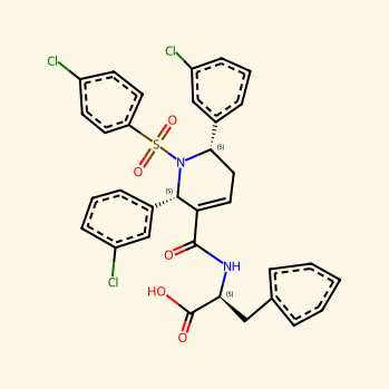 O=C(N[C@@H](Cc1ccccc1)C(=O)O)C1=CC[C@@H](c2cccc(Cl)c2)N(S(=O)(=O)c2ccc(Cl)cc2)[C@H]1c1cccc(Cl)c1